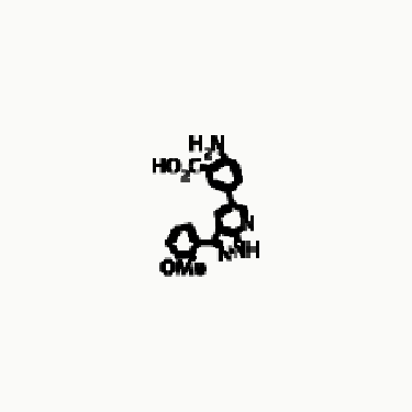 COc1ccccc1-c1n[nH]c2ncc(-c3ccc(N)c(C(=O)O)c3)cc12